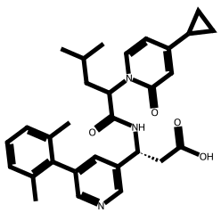 Cc1cccc(C)c1-c1cncc([C@@H](CC(=O)O)NC(=O)C(CC(C)C)n2ccc(C3CC3)cc2=O)c1